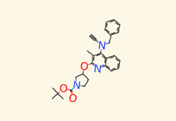 C#CN(Cc1ccccc1)c1c(C)c(OC2CCN(C(=O)OC(C)(C)C)C2)nc2ccccc12